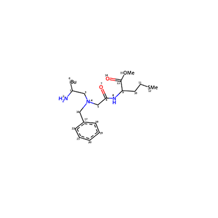 CCC(C)C(N)CN(CC(=O)NC(CCSC)C(=O)OC)Cc1ccccc1